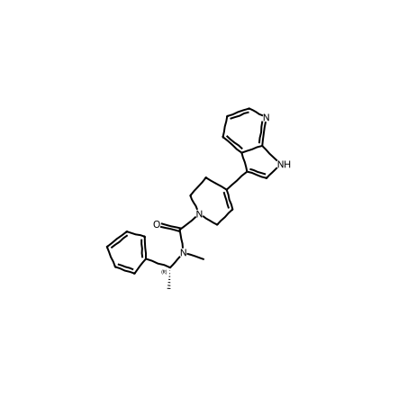 C[C@H](c1ccccc1)N(C)C(=O)N1CC=C(c2c[nH]c3ncccc23)CC1